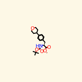 COC(=O)[C@H](Cc1ccc(C2CCOCC2)cc1)NC(=O)OC(C)(C)C